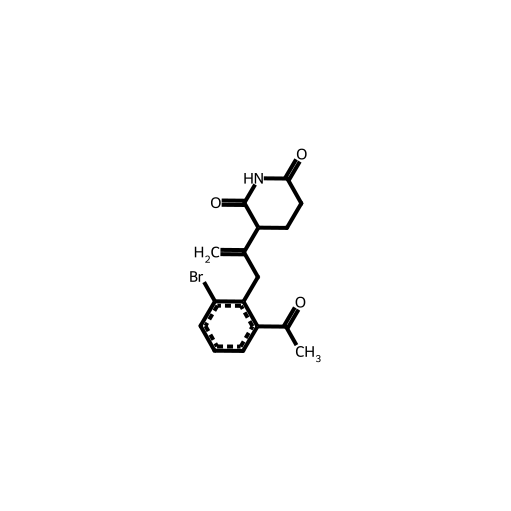 C=C(Cc1c(Br)cccc1C(C)=O)C1CCC(=O)NC1=O